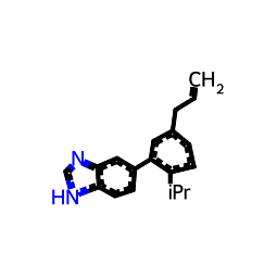 C=CCc1ccc(C(C)C)c(-c2ccc3[nH]cnc3c2)c1